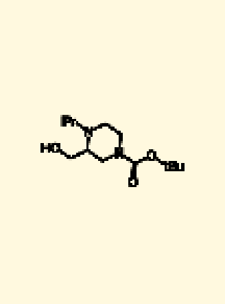 CC(C)N1CCN(C(=O)OC(C)(C)C)CC1CO